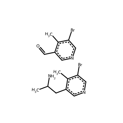 Cc1c(Br)cncc1C=O.Cc1c(Br)cncc1CC(C)N